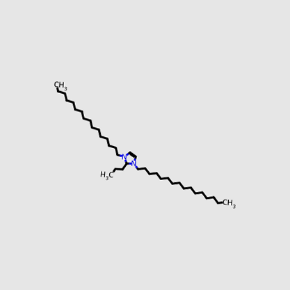 CCCCCCCCCCCCCCCCN1C=CN(CCCCCCCCCCCCCCCC)C1CCC